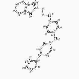 c1ccc2[nH]c(CCOc3ccc(Oc4ccc(-c5ccn[nH]5)cc4)cc3)nc2c1